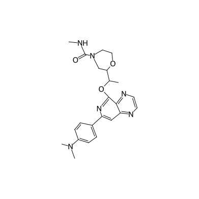 CNC(=O)N1CCOC(C(C)Oc2nc(-c3ccc(N(C)C)cc3)cc3nccnc23)C1